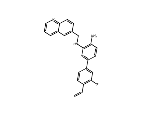 C=Cc1ccc(-c2ccc(N)c(NCc3ccc4ncccc4c3)n2)cc1F